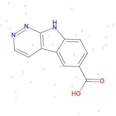 O=C(O)c1ccc2[nH]c3nnccc3c2c1